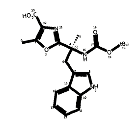 Cc1oc([C@](C)(Cc2c[nH]c3ccccc23)NC(=O)OC(C)(C)C)nc1C(=O)O